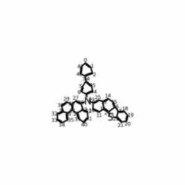 c1ccc(-c2ccc(N(c3ccc4c(ccc5c6ccccc6sc45)c3)c3cc4ccc5ccccc5c4c4ccccc34)cc2)cc1